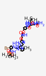 Cc1cccc(-c2nc(CNc3ccc(Br)c(C(=O)NS(=O)(=O)C(C)(C)C)c3)[nH]c2-c2ccc3ncc(OCCNC(=O)OCc4ccc(NC(=O)C(CCCNC(N)=O)NC(=O)CC(C)C)cc4)cc3n2)n1